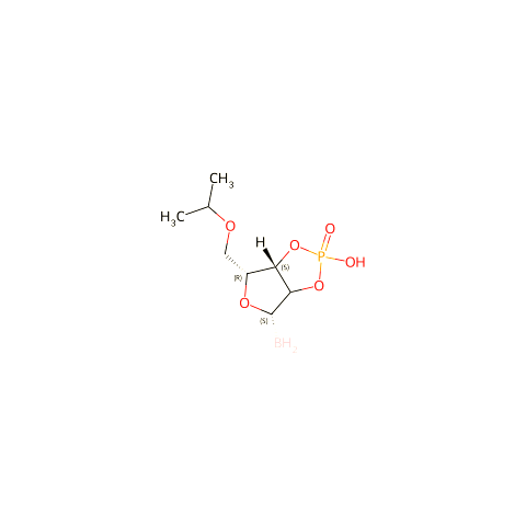 B[C@@H]1O[C@H](COC(C)C)[C@@H]2OP(=O)(O)OC12